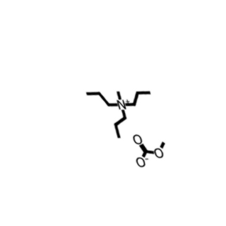 CCC[N+](C)(CCC)CCC.COC(=O)[O-]